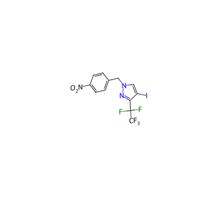 O=[N+]([O-])c1ccc(Cn2cc(I)c(C(F)(F)C(F)(F)F)n2)cc1